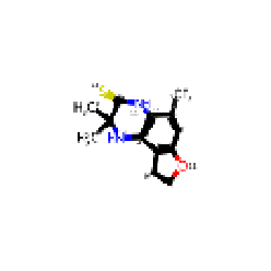 CC1(C)Nc2c3c(cc(C(F)(F)F)c2NC1=S)OCC3